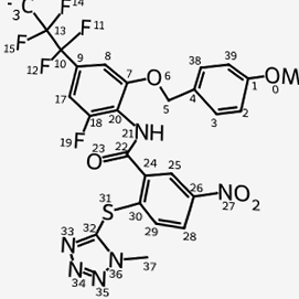 COc1ccc(COc2cc(C(F)(F)C(F)(F)C(F)(F)F)cc(F)c2NC(=O)c2cc([N+](=O)[O-])ccc2Sc2nnnn2C)cc1